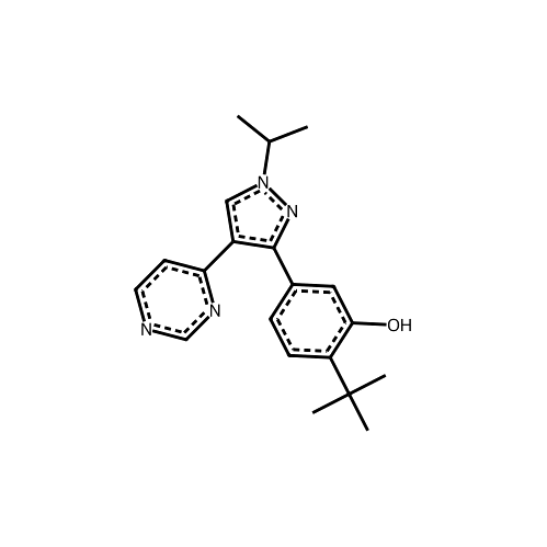 CC(C)n1cc(-c2ccncn2)c(-c2ccc(C(C)(C)C)c(O)c2)n1